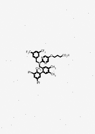 Cc1cc(CN(Cc2cc(C(F)(F)F)cc(C(F)(F)F)c2)c2ncc(OCCCC(=O)O)cn2)c(-c2cc(C(C)C)cc(C(C)C)c2C)cc1C